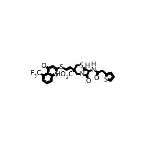 O=C(Cc1cccs1)NC1C(=O)N2CC(C=CSc3cc(=O)c4c(C(F)(F)F)cccc4s3)(C(=O)O)CS[C@H]12